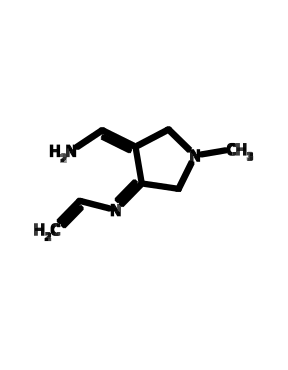 C=C/N=C1/CN(C)C/C1=C/N